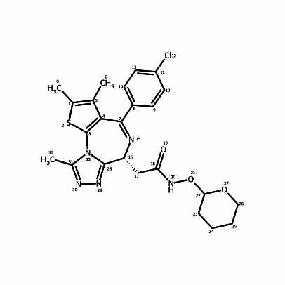 Cc1sc2c(c1C)C(c1ccc(Cl)cc1)=N[C@H](CC(=O)NOC1CCCCO1)c1nnc(C)n1-2